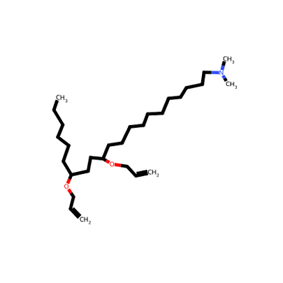 C=CCOC(CCCCCC)CCC(CCCCCCCCCCCN(C)C)OCC=C